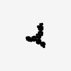 COc1ccc([C@H]2CC[C@H](CN(c3cccc(-n4ccc(C)c4)c3)C(=O)[C@H]3CC[C@H](O[Si](C)(C)C(C)(C)C)CC3)CC2)cc1C